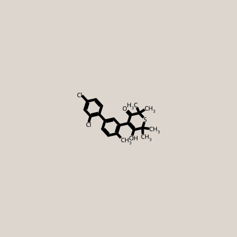 Cc1ccc(-c2ccc(Cl)cc2Cl)cc1C1=C(O)C(C)(C)SC(C)(C)C1=O